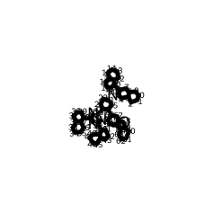 c1ccc2cc3c(cc2c1)c1c2ccccc2ccc1n3-c1ccc(-c2nc(-c3cccc4ccccc34)nc(-c3cccc4ccccc34)n2)c(-c2ccc3c(c2)oc2ccccc23)c1